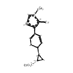 CCOC(=O)[C@H]1C[C@@H]1C1C=CC(c2ncn(C)c2I)=CC1